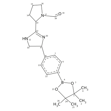 CC1(C)OB(c2ccc(C3CNC(C4CCCN4C=O)=N3)cc2)OC1(C)C